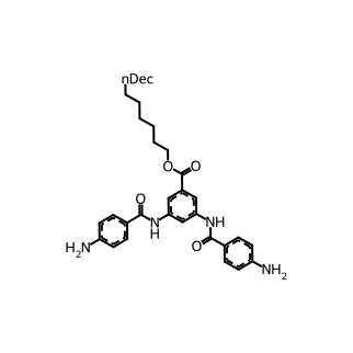 CCCCCCCCCCCCCCCCOC(=O)c1cc(NC(=O)c2ccc(N)cc2)cc(NC(=O)c2ccc(N)cc2)c1